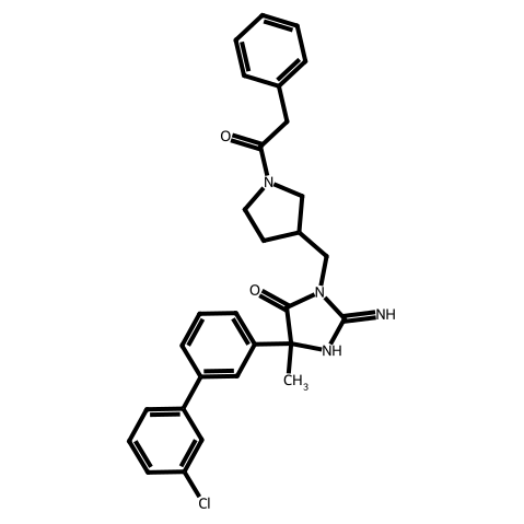 CC1(c2cccc(-c3cccc(Cl)c3)c2)NC(=N)N(CC2CCN(C(=O)Cc3ccccc3)C2)C1=O